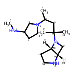 CNC1CCN(C(C)CC(C)(C)N2C[C@@H]3NCC[C@@H]32)C1